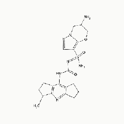 CC1CCc2c1nc1c(c2NC(=O)N=S(N)(=O)c2cnn3c2OCC(N)C3)CCC1